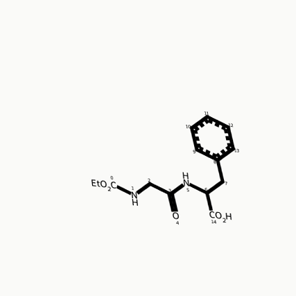 CCOC(=O)NCC(=O)NC(Cc1ccccc1)C(=O)O